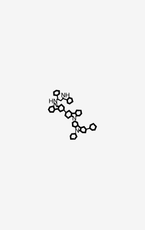 N=C(CC(Nn1c2ccccc2c2cc(-c3ccc4c(c3)c3ccccc3n4-c3ccc4c(c3)c3cc(-c5ccccc5)ccc3n4-c3ccccc3)ccc21)c1ccccc1)c1ccccc1